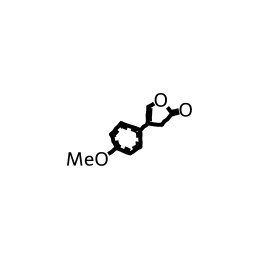 COc1ccc(C2=COC(=O)C2)cc1